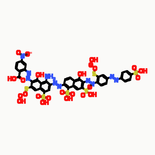 Nc1c(N=Nc2ccc3c(O)c(N=Nc4ccc(N=Nc5ccc(S(=O)(=O)O)cc5)cc4SOOO)c(S(=O)(=O)O)cc3c2S(=O)(=O)O)cc(S(=O)(=O)O)c2cc(SOOO)c(N=Nc3cc([N+](=O)[O-])ccc3C(=O)O)c(O)c12